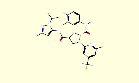 Cc1cc(C(F)(F)F)cc(N2C[C@@H](C(=O)Nc3cc(C)nn3C(C)C)C[C@H]2C(=O)N(C)c2ccc(F)c(Cl)c2)n1